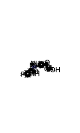 N=N/C(=C\Nc1ccc(C(=O)N2C[C@@H](O)CO2)cc1)c1cc2cc(F)ccc2[nH]c1=O